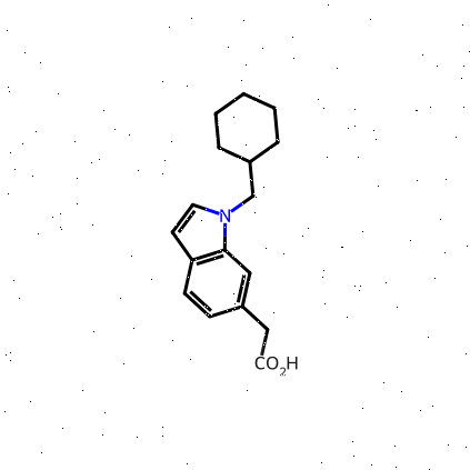 O=C(O)Cc1ccc2ccn(CC3CCCCC3)c2c1